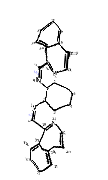 C(=N/C1CCCCC1/N=C\c1nccc2ccccc12)/c1nccc2ccccc12